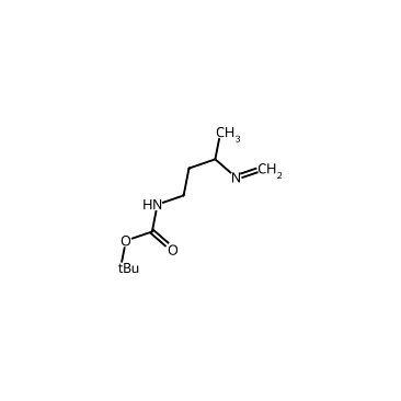 C=NC(C)CCNC(=O)OC(C)(C)C